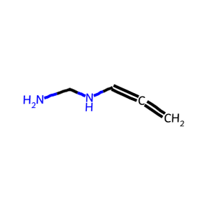 C=C=CNCN